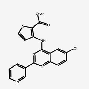 COC(=O)c1sccc1Nc1nc(-c2cccnc2)nc2ccc(Cl)cc12